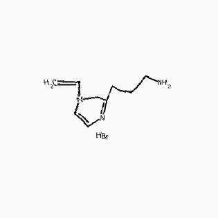 Br.C=Cn1ccnc1CCCN